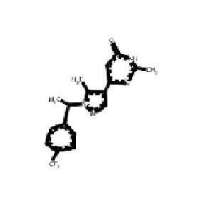 Cc1nc(-c2cnn(C(C)c3ccc(C(F)(F)F)cc3)c2C)cc(=O)[nH]1